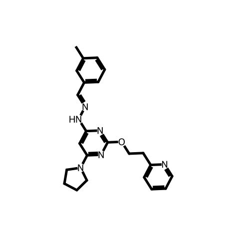 Cc1cccc(/C=N/Nc2cc(N3CCCC3)nc(OCCc3ccccn3)n2)c1